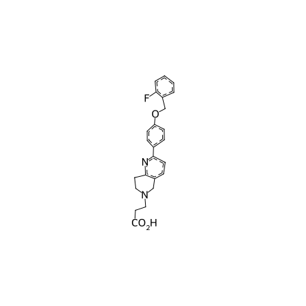 O=C(O)CCN1CCc2nc(-c3ccc(OCc4ccccc4F)cc3)ccc2C1